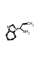 C=CC(N)n1cnc2ccccc21